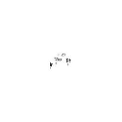 [Ir].[Mo].[Rh].[Zr]